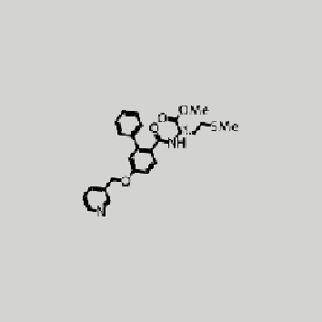 COC(=O)[C@H](CCSC)NC(=O)c1ccc(OCc2cccnc2)cc1-c1ccccc1